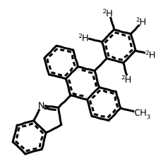 [2H]c1c([2H])c([2H])c(-c2c3ccccc3c(C3=Nc4ccccc4C3)c3ccc(C)cc23)c([2H])c1[2H]